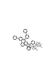 CC1(C)CC(C)(C)c2c(-n3c4ccccc4c4ccc(N(c5cccc(-c6ccccc6)c5)c5ccc(-c6ccccc6)cc5-c5ccccc5)cc43)cccc21